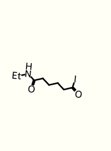 CCNC(=O)CCCCC(=O)I